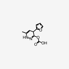 CC1=CC(c2ccco2)C(OC(=O)O)=NN1